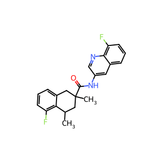 CC1CC(C)(C(=O)Nc2cnc3c(F)cccc3c2)Cc2cccc(F)c21